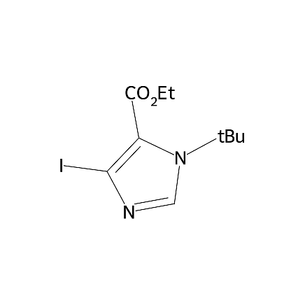 CCOC(=O)c1c(I)ncn1C(C)(C)C